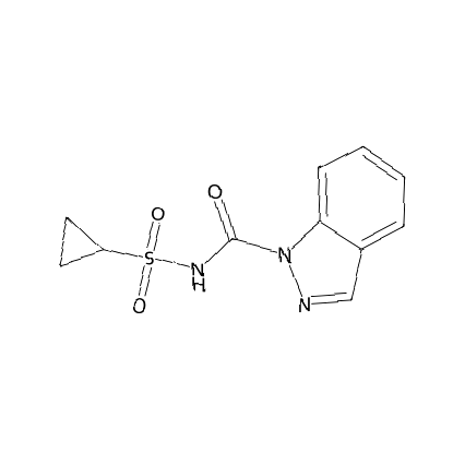 O=C(NS(=O)(=O)C1CC1)n1ncc2ccccc21